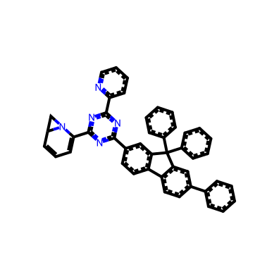 C1=CC2CN2C(c2nc(-c3ccc4c(c3)C(c3ccccc3)(c3ccccc3)c3cc(-c5ccccc5)ccc3-4)nc(-c3ccccn3)n2)=C1